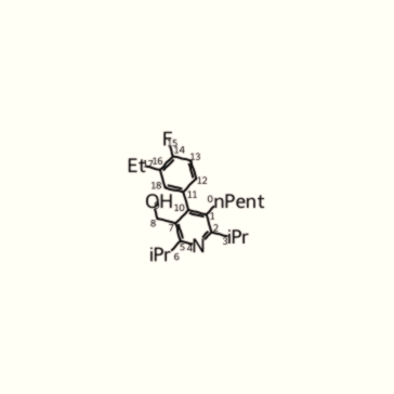 CCCCCc1c(C(C)C)nc(C(C)C)c(CO)c1-c1ccc(F)c(CC)c1